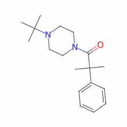 CC(C)(C(=O)N1CCN(C(C)(C)C)CC1)c1ccccc1